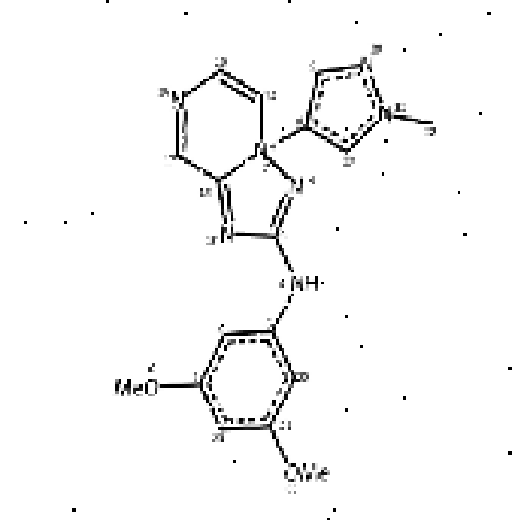 COc1cc(NC2=N[N+]3(c4cnn(C)c4)C=CN=CC3=N2)cc(OC)c1